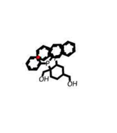 OCC1CCC(CO)(P(c2ccccc2)c2ccccc2)C(P(c2ccccc2)c2ccccc2)C1